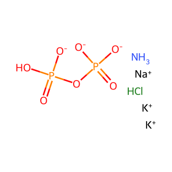 Cl.N.O=P([O-])([O-])OP(=O)([O-])O.[K+].[K+].[Na+]